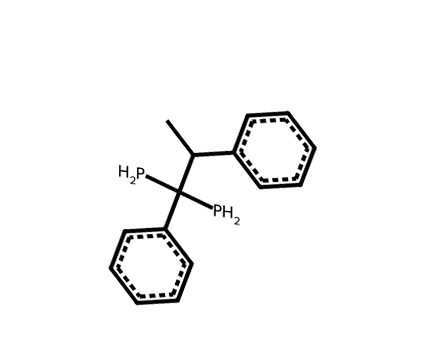 CC(c1ccccc1)C(P)(P)c1ccccc1